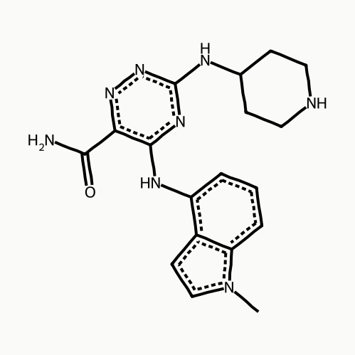 Cn1ccc2c(Nc3nc(NC4CCNCC4)nnc3C(N)=O)cccc21